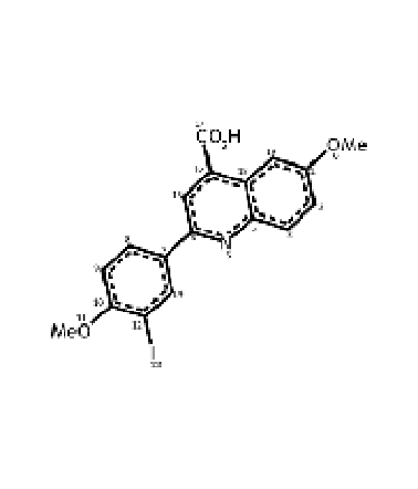 COc1ccc2nc(-c3ccc(OC)c(I)c3)cc(C(=O)O)c2c1